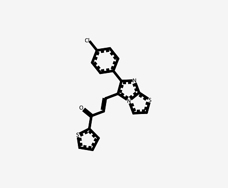 O=C(/C=C/c1c(-c2ccc(Cl)cc2)nc2sccn12)c1cccs1